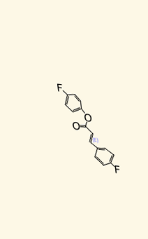 O=C(/C=C/c1ccc(F)cc1)Oc1ccc(F)cc1